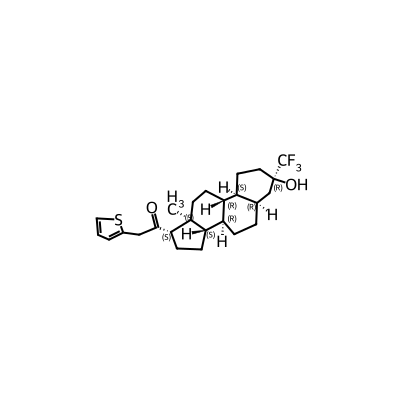 C[C@]12CC[C@H]3[C@@H](CC[C@@H]4C[C@@](O)(C(F)(F)F)CC[C@@H]43)[C@@H]1CC[C@@H]2C(=O)Cc1cccs1